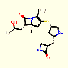 C[C@@H](O)C[C@@H]1C(=O)N2C(C(=O)O)=C(S[C@@H]3CN[C@H](CC4CNC4=O)C3)C[C@@H]12